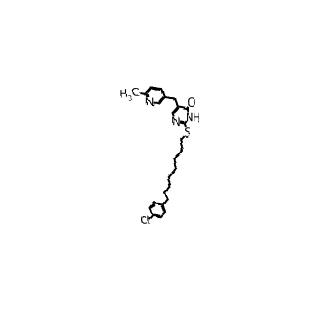 Cc1ccc(Cc2cnc(SCCCCCCCCc3ccc(Cl)cc3)[nH]c2=O)cn1